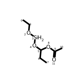 CCO[SiH2]OC(CC)OC(C)=O